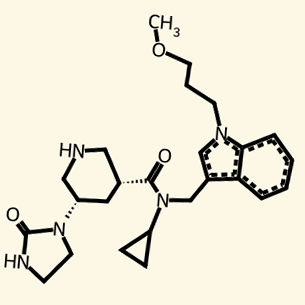 COCCCn1cc(CN(C(=O)[C@H]2CNC[C@@H](N3CCNC3=O)C2)C2CC2)c2ccccc21